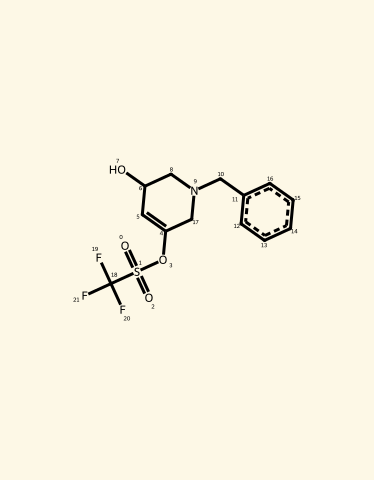 O=S(=O)(OC1=CC(O)CN(Cc2ccccc2)C1)C(F)(F)F